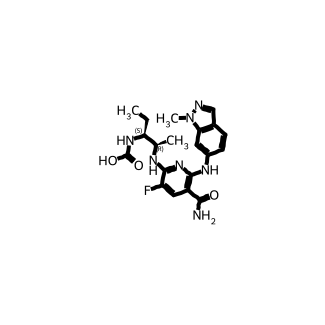 CC[C@H](NC(=O)O)[C@@H](C)Nc1nc(Nc2ccc3cnn(C)c3c2)c(C(N)=O)cc1F